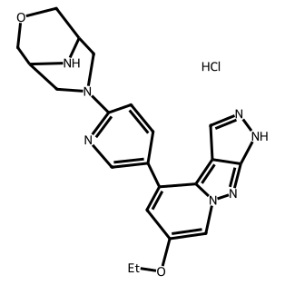 CCOc1cc(-c2ccc(N3CC4COCC(C3)N4)nc2)c2c3cn[nH]c3nn2c1.Cl